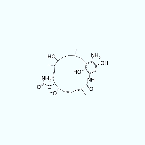 COC1/C=C\C=C(/C)C(=O)Nc2cc(O)c(N)c(c2O)C[C@@H](C)CCC(O)[C@@H](C)/C=C(\C)C1OC(N)=O